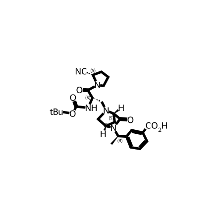 C[C@H](c1cccc(C(=O)O)c1)N1C(=O)[C@@H]2C[C@H]1CN2C[C@H](NC(=O)OC(C)(C)C)C(=O)N1CCC[C@H]1C#N